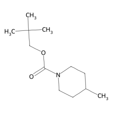 CC1CCN(C(=O)OCC(C)(C)C)CC1